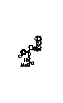 CNC[C@@H](C[C@H]1CCCOC1)NC(=O)N1CCCC([C@@H](OCCNC(=O)OC)c2cccc(Cl)c2)C1